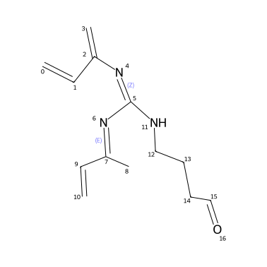 C=CC(=C)/N=C(\N=C(/C)C=C)NCCCC=O